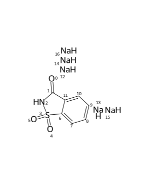 O=C1NS(=O)(=O)c2ccccc21.[NaH].[NaH].[NaH].[NaH].[NaH]